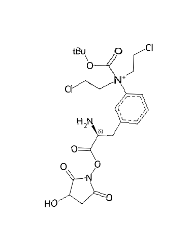 CC(C)(C)OC(=O)[N+](CCCl)(CCCl)c1cccc(C[C@H](N)C(=O)ON2C(=O)CC(O)C2=O)c1